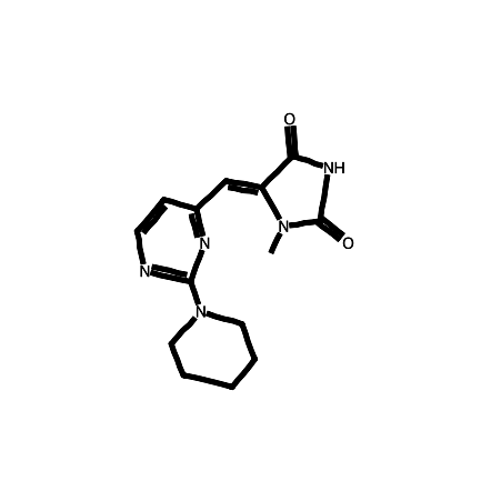 CN1C(=O)NC(=O)C1=Cc1ccnc(N2CCCCC2)n1